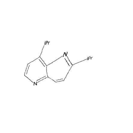 CC(C)c1ccc2nccc(C(C)C)c2n1